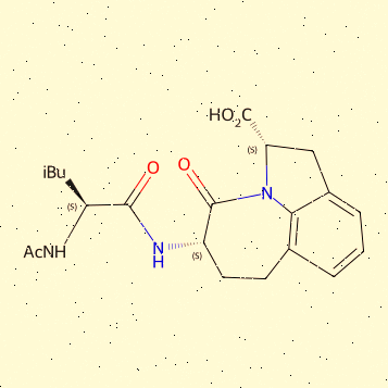 CCC(C)[C@H](NC(C)=O)C(=O)N[C@H]1CCc2cccc3c2N(C1=O)[C@H](C(=O)O)C3